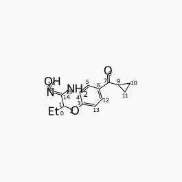 CCC(Oc1ccc(C(=O)C2CC2)cc1)/C(N)=N/O